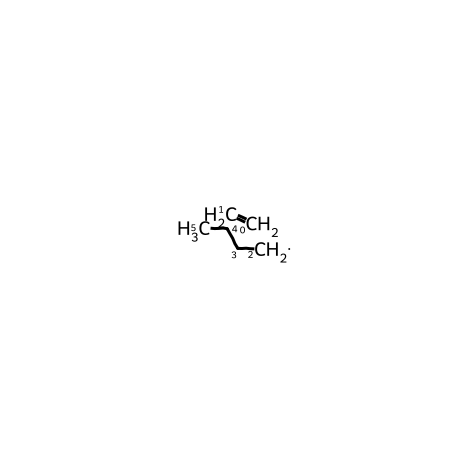 C=C.[CH2]CCC